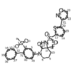 CS(=O)(=O)c1cc(N2CCCC(F)(NS(=O)(=O)c3ccc(-c4ccon4)s3)C2=O)ccc1-c1ccccc1